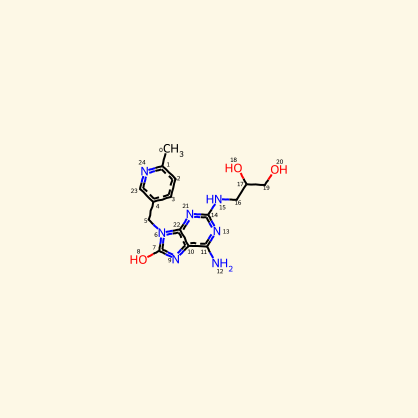 Cc1ccc(Cn2c(O)nc3c(N)nc(NCC(O)CO)nc32)cn1